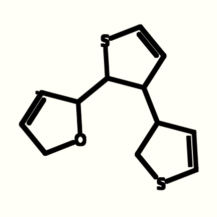 [C]1=CCOC1C1SC=CC1C1C=CSC1